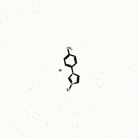 CC[n+]1ccn(-c2ccc(C)cc2)c1.[Br-]